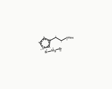 CCCCCCCCc1ccsc1.[Br][Mg][Br]